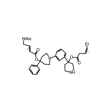 CC/C=C\CC(=O)OC1(c2cccc(N3CCC(OC(=O)/C=C/CNC)(c4ccccc4)CC3)c2)CCNCC1